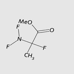 COC(=O)C(C)(F)N(F)F